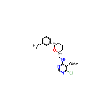 COc1c(Cl)ncnc1NC[C@H]1CCC[C@@H](c2cccc(C)c2)O1